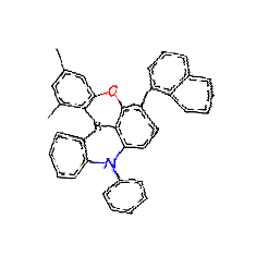 Cc1cc(C)c2c(c1)Oc1c(-c3cccc4ccccc34)ccc3c1B2c1ccccc1N3c1ccccc1